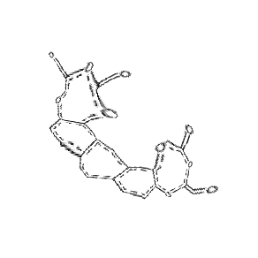 O=c1oc(=O)oc2c(ccc3cc4ccc5oc(=O)oc(=O)oc5c4cc32)o1